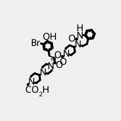 O=C(O)CN1CCC(N2CCN(C(=O)[C@@H](Cc3ccc(O)c(Br)c3)OC(=O)N3CCC(N4CCc5ccccc5NC4=O)CC3)CC2)CC1